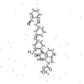 COC(=O)C1Sc2nccc3c2C1NC(=O)N3c1ccc(Oc2cccc(COc3ccccc3C#N)c2)cc1C